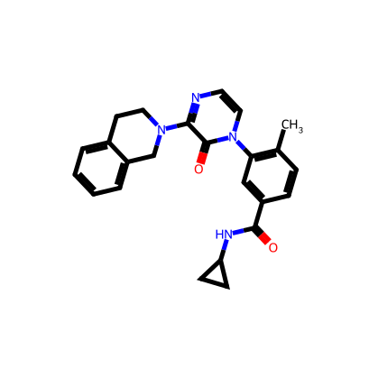 Cc1ccc(C(=O)NC2CC2)cc1-n1ccnc(N2CCc3ccccc3C2)c1=O